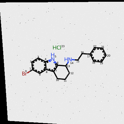 Brc1ccc2[nH]c3c(c2c1)CCCC3NCCc1ccccc1.Cl